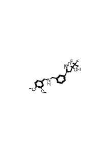 COc1ccc(CNCc2cccc(C3=NOC(O)(C(F)(F)F)C3)c2)cc1OC